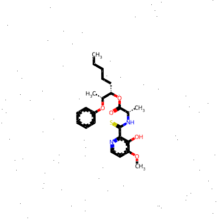 CCCCC[C@H](OC(=O)[C@H](C)NC(=S)c1nccc(OC)c1O)[C@@H](C)Oc1ccccc1